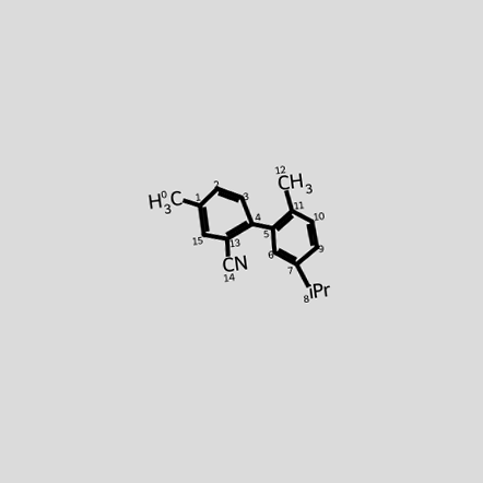 Cc1ccc(-c2cc(C(C)C)ccc2C)c(C#N)c1